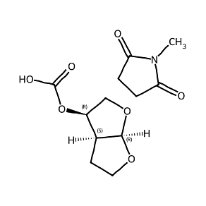 CN1C(=O)CCC1=O.O=C(O)O[C@H]1CO[C@H]2OCC[C@H]21